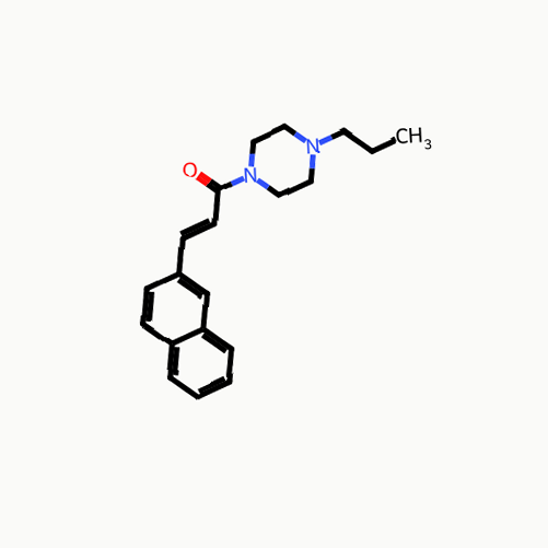 CCCN1CCN(C(=O)C=Cc2ccc3ccccc3c2)CC1